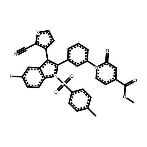 COC(=O)c1ccn(-c2cccc(-c3c(-c4ccsc4C#N)c4cc(F)ccc4n3S(=O)(=O)c3ccc(C)cc3)c2)c(=O)c1